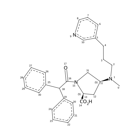 CN(CCCc1cccnc1)[C@H]1C[C@@H](C(=O)O)N(C(=O)C(c2ccccc2)c2ccccc2)C1